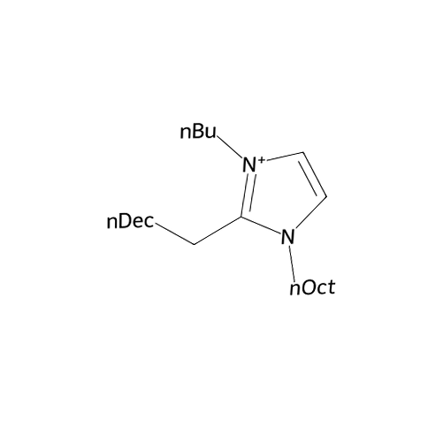 CCCCCCCCCCCc1n(CCCCCCCC)cc[n+]1CCCC